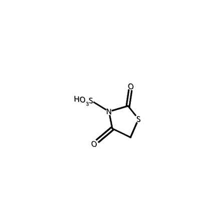 O=C1CSC(=O)N1S(=O)(=O)O